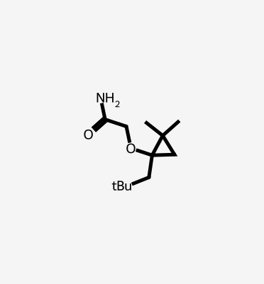 CC(C)(C)CC1(OCC(N)=O)CC1(C)C